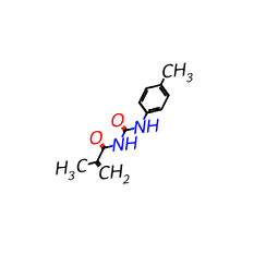 C=C(C)C(=O)NC(=O)Nc1ccc(C)cc1